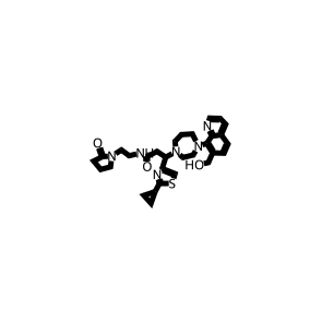 O=C(CC(c1csc(C2CC2)n1)N1CCCN(c2c(CO)ccc3cccnc23)CC1)NCCN1CCCC1=O